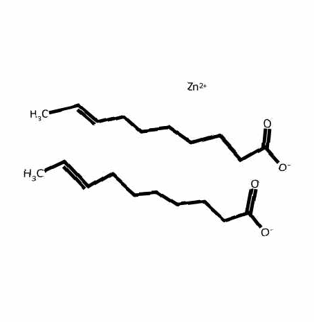 CC=CCCCCCCC(=O)[O-].CC=CCCCCCCC(=O)[O-].[Zn+2]